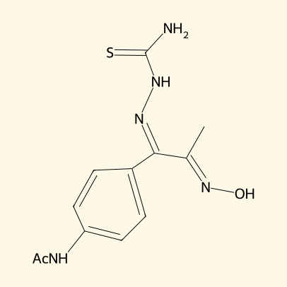 CC(=O)Nc1ccc(C(=NNC(N)=S)C(C)=NO)cc1